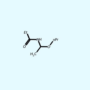 CCCOC(C)NC(=O)CC